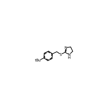 CC(C)(C)c1ccc(CSC2=NCCN2)cc1